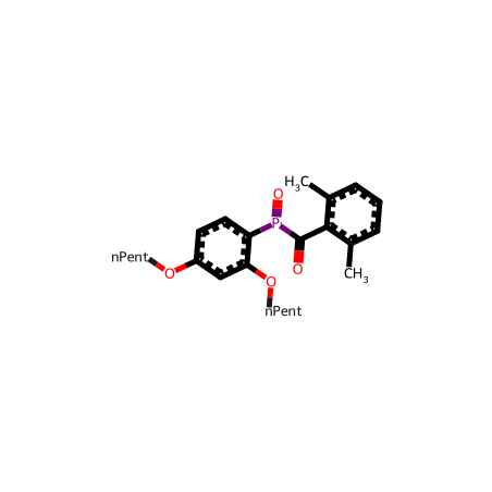 CCCCCOc1ccc([P](=O)C(=O)c2c(C)cccc2C)c(OCCCCC)c1